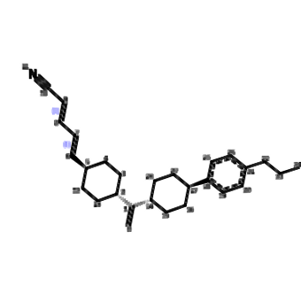 C=C([C@H]1CC[C@H](/C=C/C=C/C#N)CC1)[C@H]1CC[C@H](c2ccc(CCC)cc2)CC1